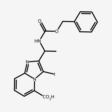 CC(NC(=O)OCc1ccccc1)c1nc2cccc(C(=O)O)n2c1I